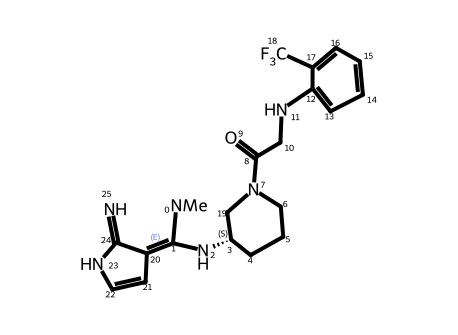 CN/C(N[C@H]1CCCN(C(=O)CNc2ccccc2C(F)(F)F)C1)=C1/C=CNC1=N